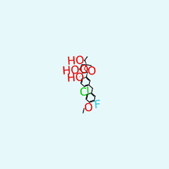 CCOc1ccc(Cc2cc([C@@]34OC[C@@](C(C)O)(C[C@H](O)[C@H]3O)O4)ccc2Cl)cc1F